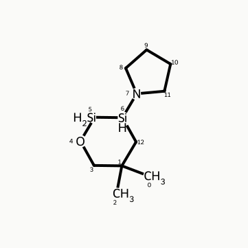 CC1(C)CO[SiH2][SiH](N2CCCC2)C1